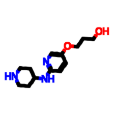 OCCCOc1ccc(NC2CCNCC2)nc1